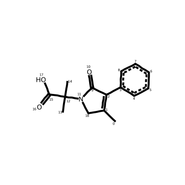 CC1=C(c2ccccc2)C(=O)N(C(C)(C)C(=O)O)C1